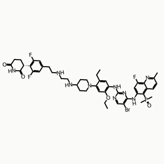 CCOc1cc(N2CCC(NCCNCCc3cc(F)c([C@H]4CCC(=O)NC4=O)c(F)c3)CC2)c(CC)cc1Nc1ncc(Br)c(Nc2cc(F)c3nc(C)ccc3c2P(C)(C)=O)n1